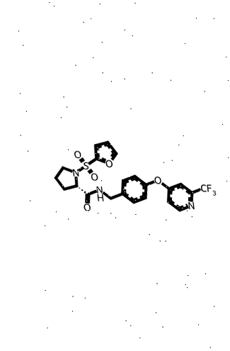 O=C(NCc1ccc(Oc2ccnc(C(F)(F)F)c2)cc1)[C@@H]1CCCN1S(=O)(=O)c1ccco1